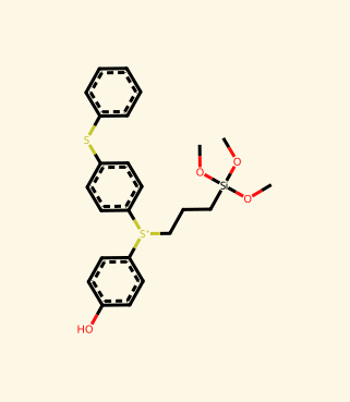 CO[Si](CCC[S+](c1ccc(O)cc1)c1ccc(Sc2ccccc2)cc1)(OC)OC